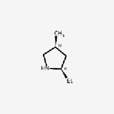 CC[C@@H]1C[C@H](C)CN1